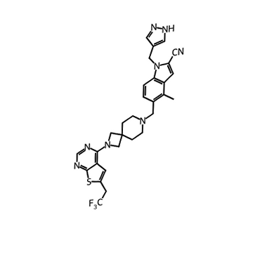 Cc1c(CN2CCC3(CC2)CN(c2ncnc4sc(CC(F)(F)F)cc24)C3)ccc2c1cc(C#N)n2Cc1cn[nH]c1